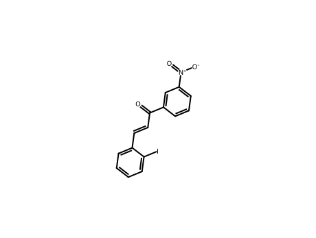 O=C(C=Cc1ccccc1I)c1cccc([N+](=O)[O-])c1